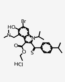 CCOC(=O)c1c(C(=S)c2ccc(C(C)C)cc2)n(C(C)C)c2cc(Br)c(O)c(CN(C)C)c12.Cl